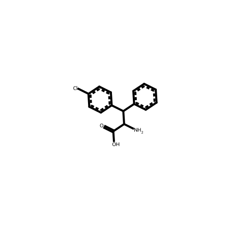 NC(C(=O)O)C(c1ccccc1)c1ccc(Cl)cc1